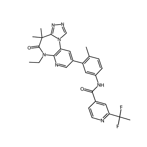 CCN1C(=O)C(C)(C)c2nncn2-c2cc(-c3cc(NC(=O)c4ccnc(C(C)(F)F)c4)ccc3C)cnc21